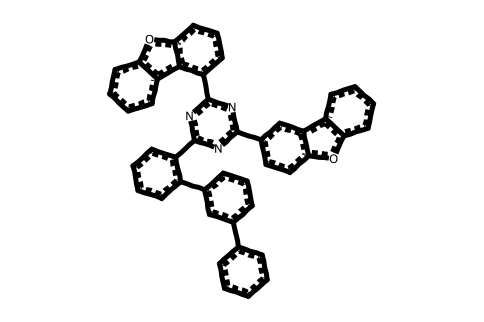 c1ccc(-c2cccc(-c3ccccc3-c3nc(-c4ccc5oc6ccccc6c5c4)nc(-c4cccc5oc6ccccc6c45)n3)c2)cc1